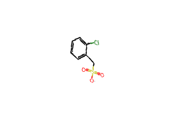 [O]S(=O)(=O)Cc1ccccc1Cl